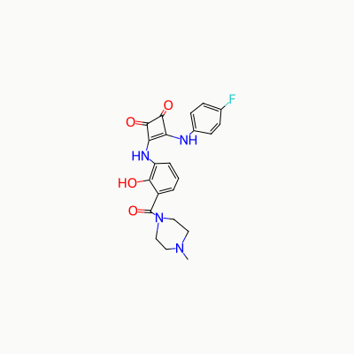 CN1CCN(C(=O)c2cccc(Nc3c(Nc4ccc(F)cc4)c(=O)c3=O)c2O)CC1